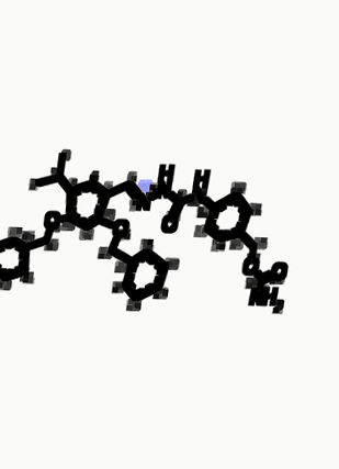 CC(C)c1cc(/C=N/NC(=O)Nc2ccc(COC(N)=O)cc2)c(OCc2ccccc2)cc1OCc1ccccc1